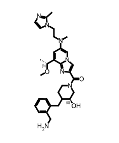 CO[C@H](C)c1cc(N(C)CCn2ccnc2C)cn2cc(C(=O)N3CCC(Cc4ccccc4CN)[C@H](O)C3)nc12